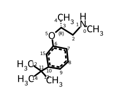 CNC[C@@H](C)Oc1cccc(C(C)(C)C)c1